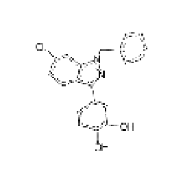 Oc1ccc(-c2nn(Cc3ccccc3)c3cc(Cl)ccc23)cc1O